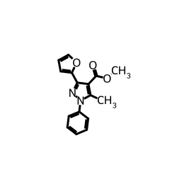 COC(=O)c1c(-c2ccco2)nn(-c2ccccc2)c1C